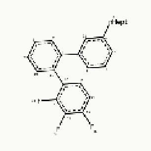 CCCCCCCc1cccc(-c2ccccc2-c2ccc(F)c(F)c2F)c1